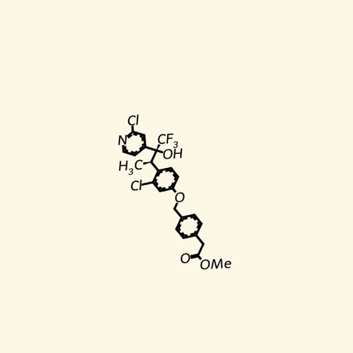 COC(=O)Cc1ccc(COc2ccc([C@@H](C)[C@@](O)(c3ccnc(Cl)c3)C(F)(F)F)c(Cl)c2)cc1